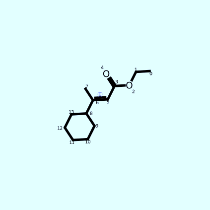 CCOC(=O)/C=C(\C)C1CCCCC1